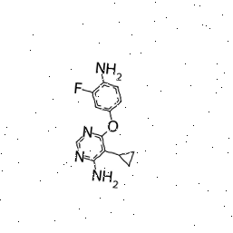 Nc1ccc(Oc2ncnc(N)c2C2CC2)cc1F